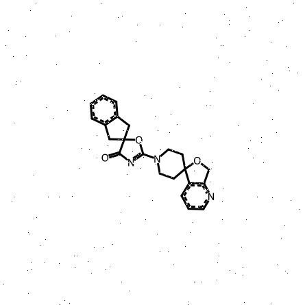 O=C1N=C(N2CCC3(CC2)OCc2ncccc23)OC12Cc1ccccc1C2